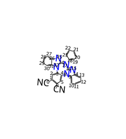 N#Cc1cc2c(cc1C#N)n1c3ccccc3nc1n(-c1ccccc1)c1nc3ccccc3n21